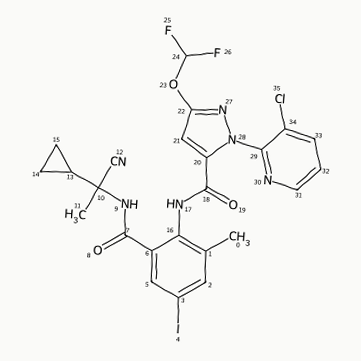 Cc1cc(I)cc(C(=O)NC(C)(C#N)C2CC2)c1NC(=O)c1cc(OC(F)F)nn1-c1ncccc1Cl